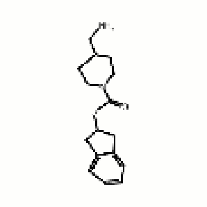 NCC1CCN(C(=O)OC2Cc3ccccc3C2)CC1